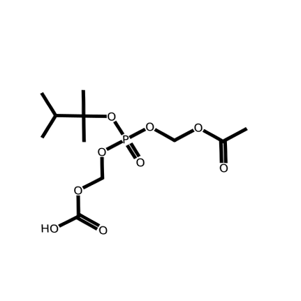 CC(=O)OCOP(=O)(OCOC(=O)O)OC(C)(C)C(C)C